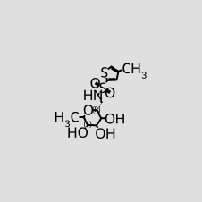 Cc1csc(S(=O)(=O)NC[C@H]2OC(C)[C@@H](O)C(O)C2O)c1